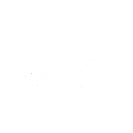 CCOCCOc1c(-c2cc(C(C)(C)C)cc(-n3c4ccccc4c4ccccc43)c2O)cc(C)cc1-c1cc(C(C)(C)C)cc(-n2c3ccccc3c3ccccc32)c1O